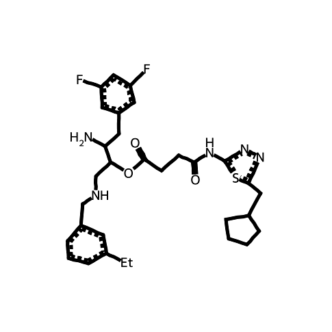 CCc1cccc(CNCC(OC(=O)CCC(=O)Nc2nnc(CC3CCCC3)s2)C(N)Cc2cc(F)cc(F)c2)c1